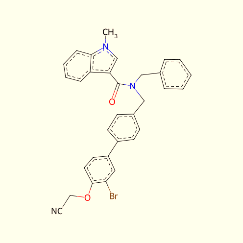 Cn1cc(C(=O)N(Cc2ccccc2)Cc2ccc(-c3ccc(OCC#N)c(Br)c3)cc2)c2ccccc21